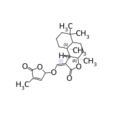 CC1=CC(O/C=C2\C(=O)O[C@]3(C)CCC4C(C)(C)CCC[C@]4(C)[C@@H]23)OC1=O